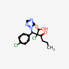 CCCC(=O)C(Cl)(C(=O)O)C(c1ccc(Cl)cc1)n1cncn1